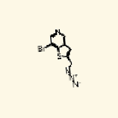 [N-]=[N+]=NCc1cc2cncc(Br)c2s1